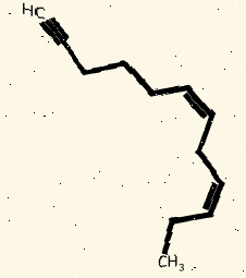 C#CCCC/C=C\C/C=C\CC